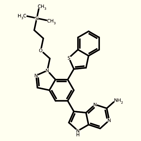 C[Si](C)(C)CCOCn1ncc2cc(-c3c[nH]c4cnc(N)nc34)cc(-c3cc4ccccc4s3)c21